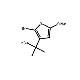 CCCCC(C)(C)c1cc(OC)sc1Br